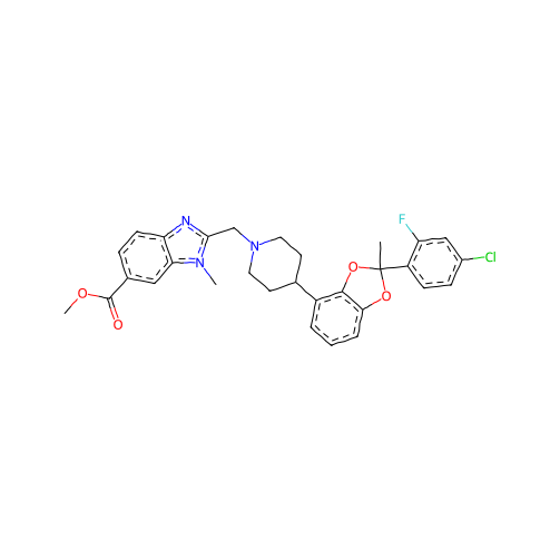 COC(=O)c1ccc2nc(CN3CCC(c4cccc5c4OC(C)(c4ccc(Cl)cc4F)O5)CC3)n(C)c2c1